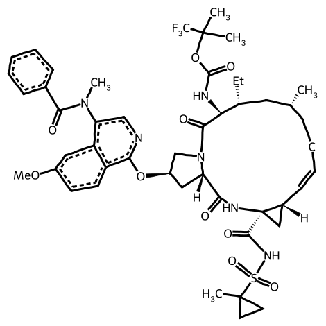 CC[C@@H]1C[C@H](C)CC/C=C\[C@@H]2C[C@@]2(C(=O)NS(=O)(=O)C2(C)CC2)NC(=O)[C@@H]2C[C@@H](Oc3ncc(N(C)C(=O)c4ccccc4)c4cc(OC)ccc34)CN2C(=O)[C@H]1NC(=O)OC(C)(C)C(F)(F)F